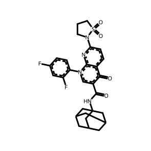 O=C(NC12CC3CC(CC(C3)C1)C2)c1cn(-c2ccc(F)cc2F)c2nc(N3CCCS3(=O)=O)ccc2c1=O